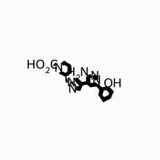 Nc1nnc(-c2ccccc2O)cc1-c1cnn(C[C@@H]2CCCN(C(=O)O)C2)c1